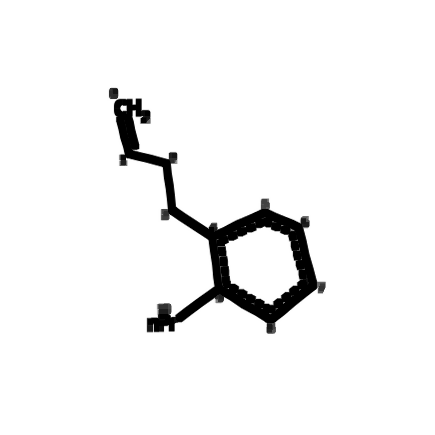 C=CCCc1ccccc1CCC